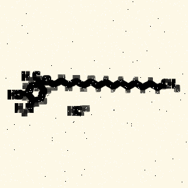 CCCCCCCCCCCCCCCCOC1(C)C=CC(N)C(O)=C1.Cl